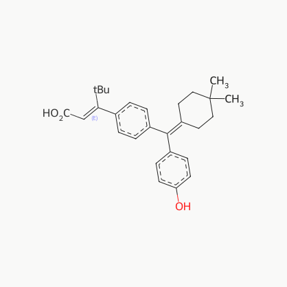 CC1(C)CCC(=C(c2ccc(O)cc2)c2ccc(/C(=C/C(=O)O)C(C)(C)C)cc2)CC1